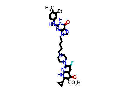 CCc1cc(Nc2nc3c(ncn3CCCCCN3CCN(c4nc5[nH]c(C6CC6)c(C(=O)O)c(=O)c5cc4F)CC3)c(=O)[nH]2)ccc1C